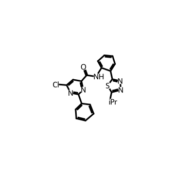 CC(C)c1nnc(-c2ccccc2NC(=O)c2cc(Cl)nc(-c3ccccc3)n2)s1